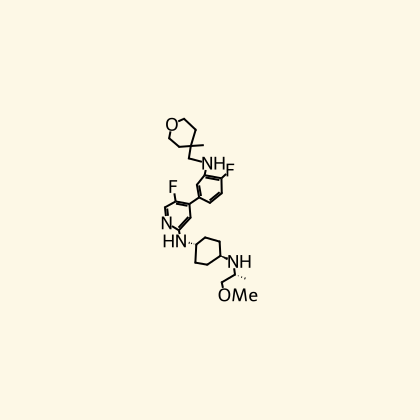 COC[C@@H](C)N[C@H]1CC[C@H](Nc2cc(-c3ccc(F)c(NCC4(C)CCOCC4)c3)c(F)cn2)CC1